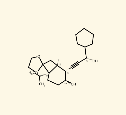 CC(C)[C@@]12CC[C@H](O)[C@@H](C#C[C@@H](O)C3CCCCC3)[C@@H]1CC21OCCO1